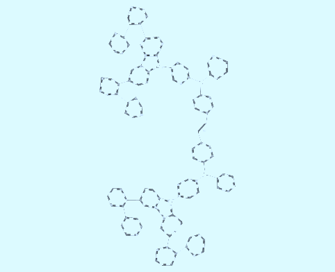 C(=C\c1ccc(N(c2ccccc2)c2ccc(-n3c4ccc(-c5ccccc5-c5ccccc5)cc4c4cc(-c5ccccc5-c5ccccc5)ccc43)cc2)cc1)/c1ccc(N(c2ccccc2)c2ccc(-n3c4ccc(-c5ccccc5-c5ccccc5)cc4c4cc(-c5ccccc5-c5ccccc5)ccc43)cc2)cc1